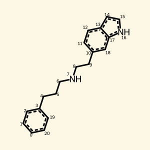 c1ccc(CCCNCCc2ccc3cc[nH]c3c2)cc1